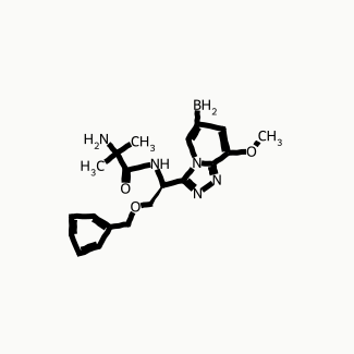 Bc1cc(OC)c2nnc([C@@H](COCc3ccccc3)NC(=O)C(C)(C)N)n2c1